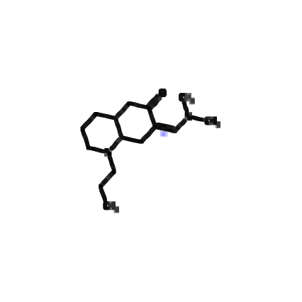 CCCN1CCCC2CC(=O)/C(=C\N(C)C)CC21